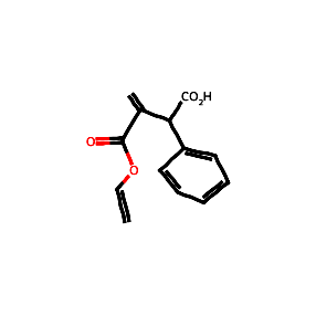 C=COC(=O)C(=C)C(C(=O)O)c1ccccc1